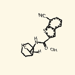 Cl.N#Cc1cccc2cc(C(=O)N[C@H]3CN4CCC3CC4)sc12